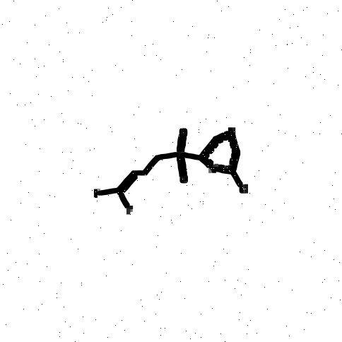 O=S(=O)(CCC=C(F)F)c1cncc(Cl)n1